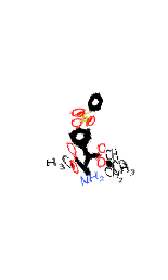 COC(=O)C(CN)C(C(=O)OC(C)(C)C)c1ccc(OS(=O)(=O)c2ccccc2)cc1